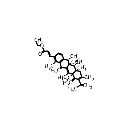 C=C(C)C1=C(C)C[C@@]2(C)[C@H](C)[C@]3(C)C(=C(C)[C@@]2(C)C1=C)C(=C)c1c(ccc(/C=C/C(=O)OCC)c1C)[C@H]3C